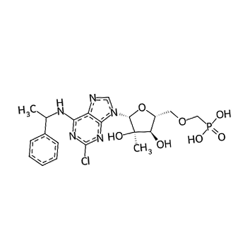 CC(Nc1nc(Cl)nc2c1ncn2[C@@H]1O[C@H](COCP(=O)(O)O)[C@@H](O)[C@@]1(C)O)c1ccccc1